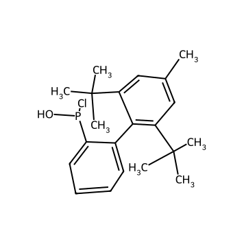 Cc1cc(C(C)(C)C)c(-c2ccccc2P(O)Cl)c(C(C)(C)C)c1